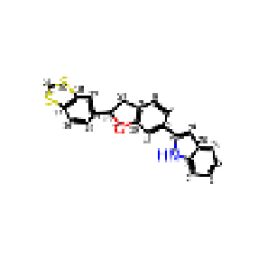 c1ccc2[nH]c(-c3ccc4c(c3)OC(c3ccc5c(c3)SCS5)C4)cc2c1